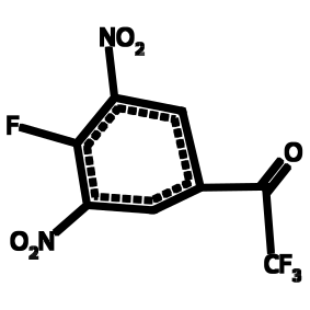 O=C(c1cc([N+](=O)[O-])c(F)c([N+](=O)[O-])c1)C(F)(F)F